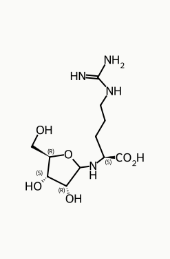 N=C(N)NCCC[C@H](NC1O[C@H](CO)[C@@H](O)[C@H]1O)C(=O)O